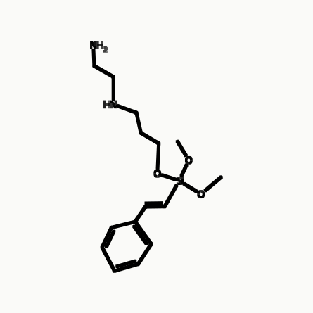 CO[Si](C=Cc1ccccc1)(OC)OCCCNCCN